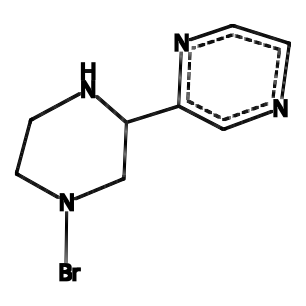 BrN1CCNC(c2cnccn2)C1